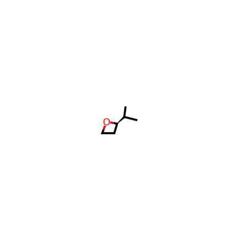 CC(C)[C@H]1CCO1